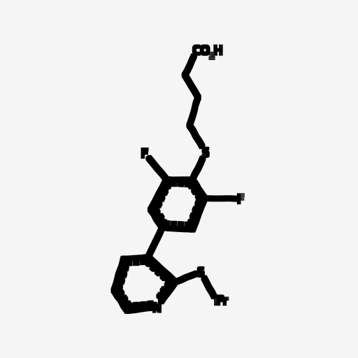 CC(C)Sc1ncccc1-c1cc(F)c(SCCCC(=O)O)c(F)c1